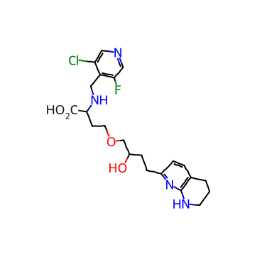 O=C(O)C(CCOCC(O)CCc1ccc2c(n1)NCCC2)NCc1c(F)cncc1Cl